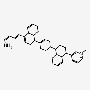 C/C=C\C(=C/NC)C1CCC(C2CC=C(C3CC=C(/C=C/C=C\N)C4C=CCCC43)CC2)C2CCC=CC12